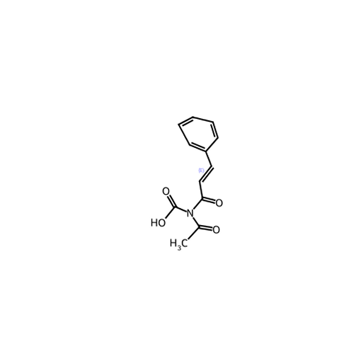 CC(=O)N(C(=O)O)C(=O)/C=C/c1ccccc1